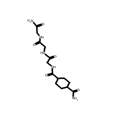 NC(=O)CNC(=O)CNC(=O)CNC(=O)C1CCC(C(N)=O)CC1